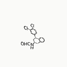 O=CNC1Cc2ccccc2[C@H](c2ccc(Cl)c(Cl)c2)C1